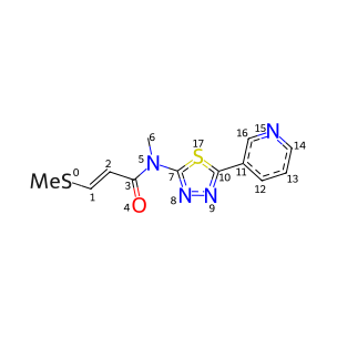 CS/C=C/C(=O)N(C)c1nnc(-c2cccnc2)s1